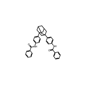 O=C(Nc1ccc(C23CC4CC(C2)CC(c2ccc(NC(=O)c5ccccc5)cc2)(C4)C3)cc1)c1ccccc1